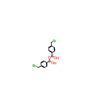 OB(OB(O)c1ccc(CBr)cc1)c1ccc(CBr)cc1